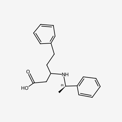 C[C@@H](NC(CCc1ccccc1)CC(=O)O)c1ccccc1